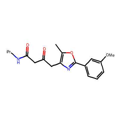 COc1cccc(-c2nc(CC(=O)CC(=O)NC(C)C)c(C)o2)c1